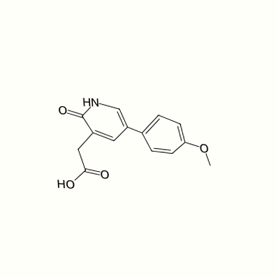 COc1ccc(-c2c[nH]c(=O)c(CC(=O)O)c2)cc1